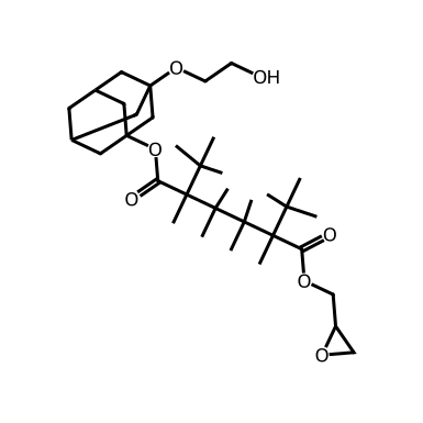 CC(C)(C)C(C)(C(=O)OCC1CO1)C(C)(C)C(C)(C)C(C)(C(=O)OC12CC3CC(CC(OCCO)(C3)C1)C2)C(C)(C)C